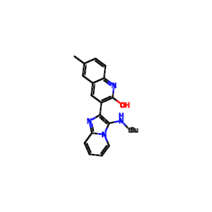 Cc1ccc2nc(O)c(-c3nc4ccccn4c3NC(C)(C)C)cc2c1